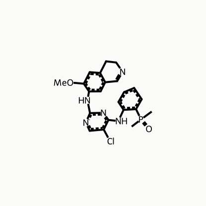 COc1cc2c(cc1Nc1ncc(Cl)c(Nc3ccccc3P(C)(C)=O)n1)C=NCC2